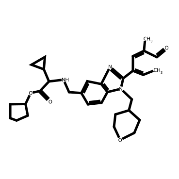 C/C=C(\C=C(\C)C=O)c1nc2cc(CNC(C(=O)OC3CCCC3)C3CC3)ccc2n1CC1CCOCC1